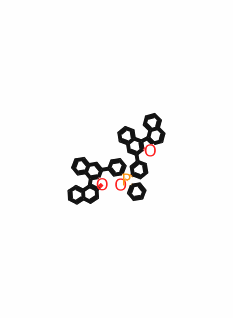 O=P(c1ccccc1)(c1cccc(-c2cc3ccccc3c3c2oc2ccc4ccccc4c23)c1)c1cccc(-c2cc3ccccc3c3c2oc2ccc4ccccc4c23)c1